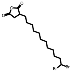 O=C1CC(CCCCCCCCCCCC(Br)Br)C(=O)O1